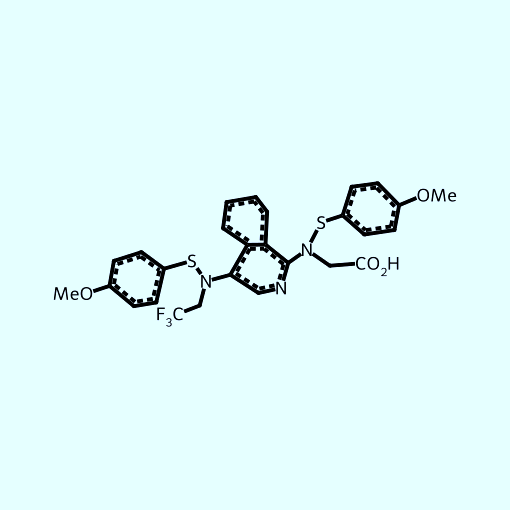 COc1ccc(SN(CC(F)(F)F)c2cnc(N(CC(=O)O)Sc3ccc(OC)cc3)c3ccccc23)cc1